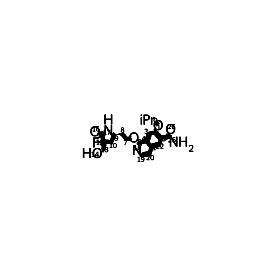 CC(C)Oc1cc2c(OCC[C@@H]3C[C@](F)(CO)C(=O)N3)nccc2cc1C(N)=O